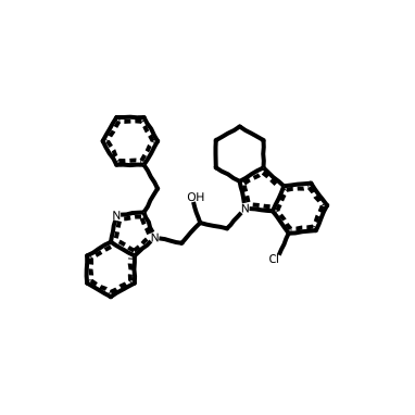 OC(Cn1c(Cc2ccccc2)nc2ccccc21)Cn1c2c(c3cccc(Cl)c31)CCCC2